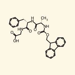 C[C@H](NC(=O)OCC1c2ccccc2-c2ccccc21)C(=O)N[C@@H](Cc1ccccc1)C(=O)NCC(=O)O